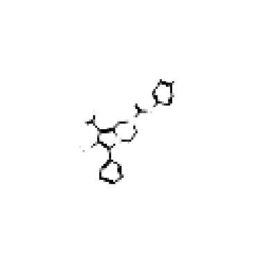 N#Cc1c(C(N)=O)c2n(c1-c1ccccc1)CCN(C(=O)Nc1ccc(F)cc1)C2